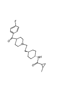 CC1CC1C(=O)N[C@H]1CC[C@H](CCN2CCC(C(=O)c3ccc(F)cc3)CC2)CC1